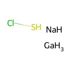 SCl.[GaH3].[NaH]